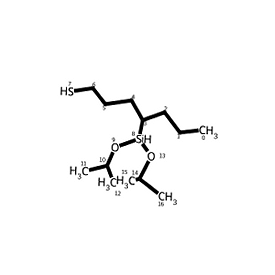 CCCC(CCCS)[SiH](OC(C)C)OC(C)C